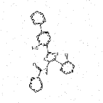 O=C(Nc1oc(-c2ccc(-c3ccccc3)cc2O)nc1-c1ccccc1Cl)c1ccccc1